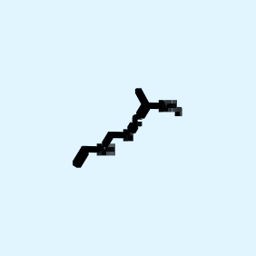 C=CNCN=C=C(C)N